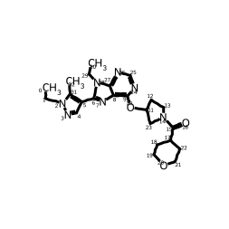 CCn1ncc(-c2nc3c(OC4CCN(C(=O)C5CCOCC5)C4)ncnc3n2CC)c1C